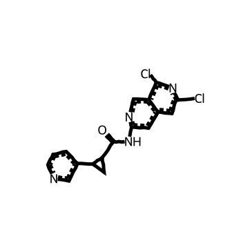 O=C(Nc1cc2cc(Cl)nc(Cl)c2cn1)C1CC1c1cccnc1